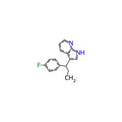 [CH2]CC(c1ccc(F)cc1)c1c[nH]c2ncccc12